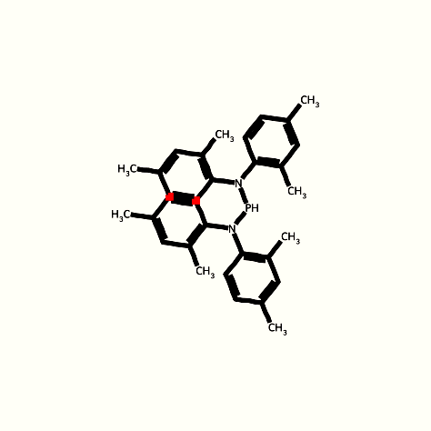 Cc1ccc(N(PN(c2ccc(C)cc2C)c2ccc(C)cc2C)c2ccc(C)cc2C)c(C)c1